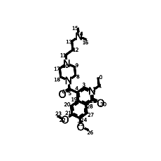 CCn1cc(C(=O)N2CCN(CCCN(C)C)CC2)c2cc(OC)c(OC)cc2c1=O